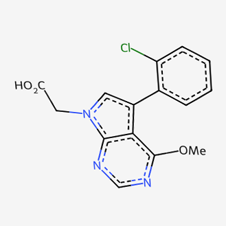 COc1ncnc2c1c(-c1ccccc1Cl)cn2CC(=O)O